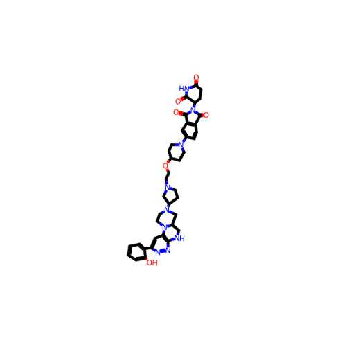 O=C1CCC(N2C(=O)c3ccc(N4CCC(OCCN5CCC(N6CCN7c8cc(-c9ccccc9O)nnc8NCC7C6)C5)CC4)cc3C2=O)C(=O)N1